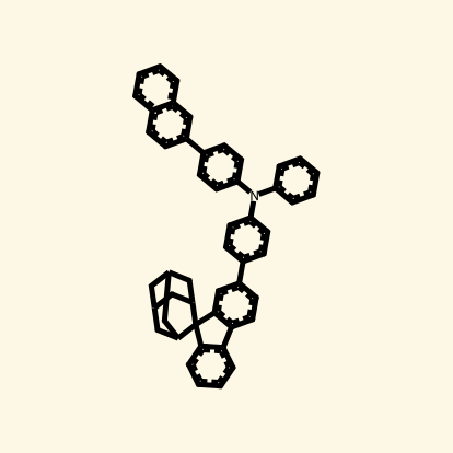 c1ccc(N(c2ccc(-c3ccc4c(c3)C3(c5ccccc5-4)C4CC5CC(C4)CC3C5)cc2)c2ccc(-c3ccc4ccccc4c3)cc2)cc1